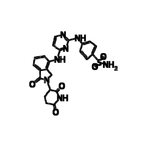 NS(=O)(=O)c1ccc(Nc2nccc(Nc3cccc4c3CN(C3CCC(=O)NC3=O)C4=O)n2)cc1